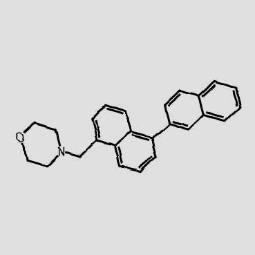 c1ccc2cc(-c3cccc4c(CN5CCOCC5)cccc34)ccc2c1